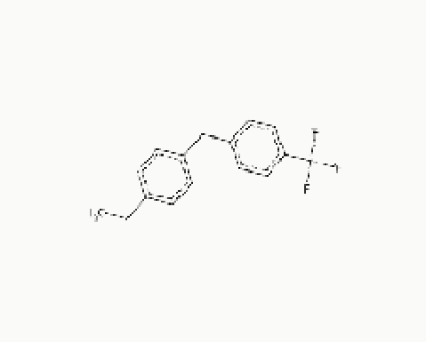 CCc1ccc(Cc2ccc(C(F)(F)F)cc2)cc1